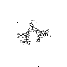 C=Cc1ccc(-n2c3ccc(-c4ccc(N(c5ccc(-c6ccccc6)cc5)c5ccc6c(c5)C(C)(C)c5ccccc5-6)cc4)cc3c3cc(-c4ccc(N(c5ccc(-c6ccccc6)cc5)c5ccc6c(c5)C(C)(C)c5ccccc5-6)cc4)ccc32)cc1